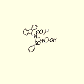 O=C(CC(CSc1ccccc1)N(CC1c2ccccc2-c2ccccc21)C(=O)O)N1CCC(O)CC1